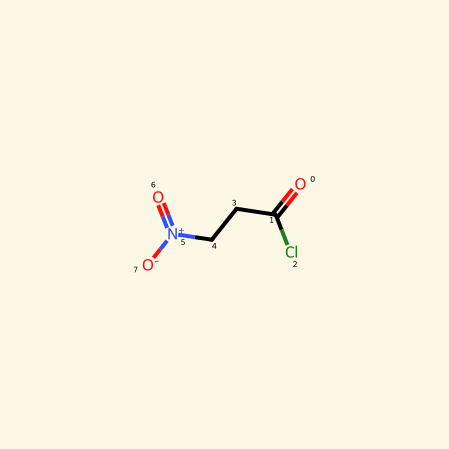 O=C(Cl)CC[N+](=O)[O-]